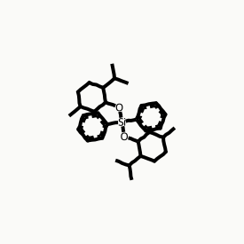 CC1CCC(C(C)C)C(O[Si](OC2CC(C)CCC2C(C)C)(c2ccccc2)c2ccccc2)C1